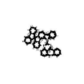 c1ccc2c(c1)Sc1cccc3nc(-n4c5ccccc5c5ccc6c(c54)-c4ccccc4C64c5ccccc5-c5ccccc54)nc-2c13